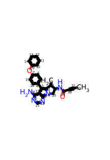 C=C1c2c(-c3ccc(Oc4ccccc4)cc3)c3c(N)ncnc3n2CC1NC(=O)C#CC